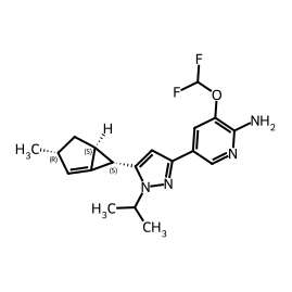 CC(C)n1nc(-c2cnc(N)c(OC(F)F)c2)cc1[C@@H]1C2=C[C@H](C)C[C@H]21